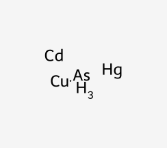 [AsH3].[Cd].[Cu].[Hg]